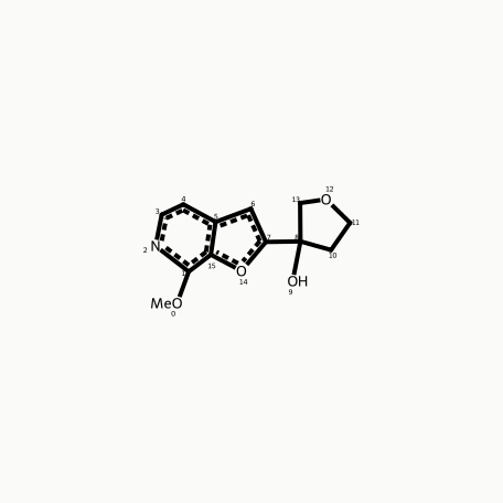 COc1nccc2cc(C3(O)CCOC3)oc12